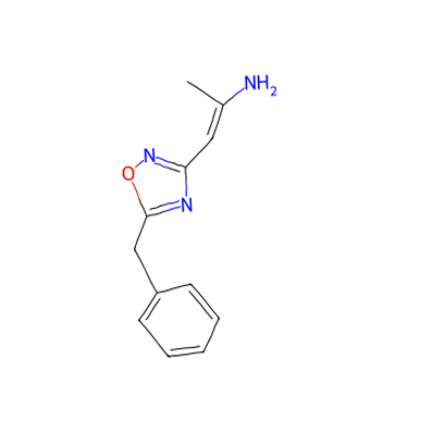 C/C(N)=C\c1noc(Cc2ccccc2)n1